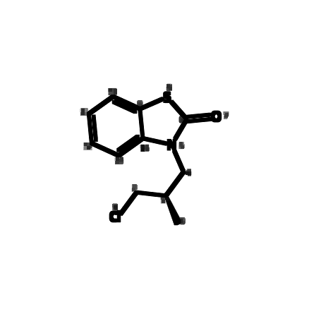 C[C@@H](CCl)Cn1c(=O)sc2ccccc21